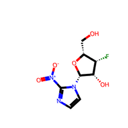 O=[N+]([O-])c1nccn1[C@@H]1O[C@H](CO)[C@H](F)[C@@H]1O